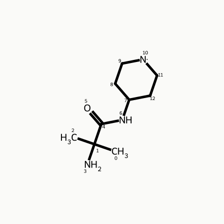 CC(C)(N)C(=O)NC1CC[N]CC1